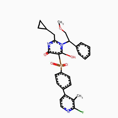 COCC(c1ccccc1)n1c(CC2CC2)nc(=O)c(S(=O)(=O)c2ccc(-c3ccnc(F)c3C)cc2)c1O